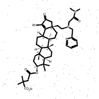 CC(C)C1=C2[C@H]3CC[C@@H]4[C@@]5(C)CC[C@H](OC(=O)CC(C)(C)C(=O)O)C(C)(C)[C@@H]5CC[C@@]4(C)[C@]3(C)CC[C@@]2(CCN(CC(=O)N(C)C)Cc2ccccn2)CC1=O